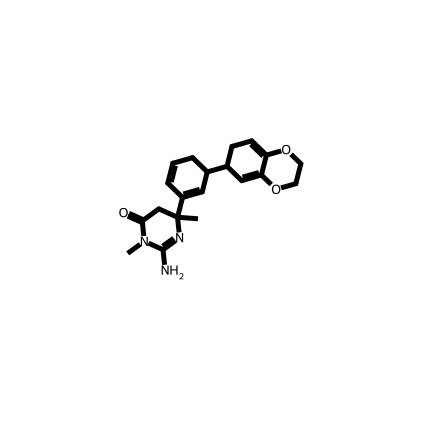 CN1C(=O)CC(C)(C2=CC(C3C=C4OCCOC4=CC3)CC=C2)N=C1N